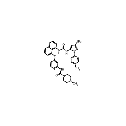 Cc1ccc(-n2nc(C(C)(C)C)cc2NC(=O)Nc2cccc3cccc(Oc4ccnc(NC(=O)N5CCN(C)CC5)c4)c23)cc1